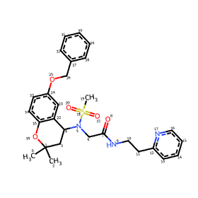 CC1(C)CC(N(CC(=O)NCCc2ccccn2)S(C)(=O)=O)c2cc(OCc3ccccc3)ccc2O1